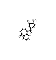 Cc1ccc(C(=O)N2CCCC(=O)c3ccccc32)cc1F